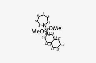 CO[Si](OC)(N1CCCCCC1)N1CCC2CCCCC2C1